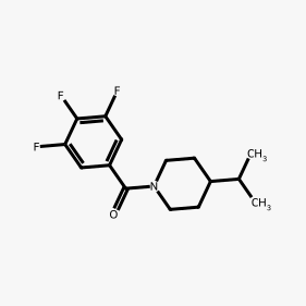 CC(C)C1CCN(C(=O)c2cc(F)c(F)c(F)c2)CC1